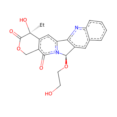 CC[C@@]1(O)C(=O)OCc2c1cc1n(c2=O)[C@H](OCCO)c2cc3ccccc3nc2-1